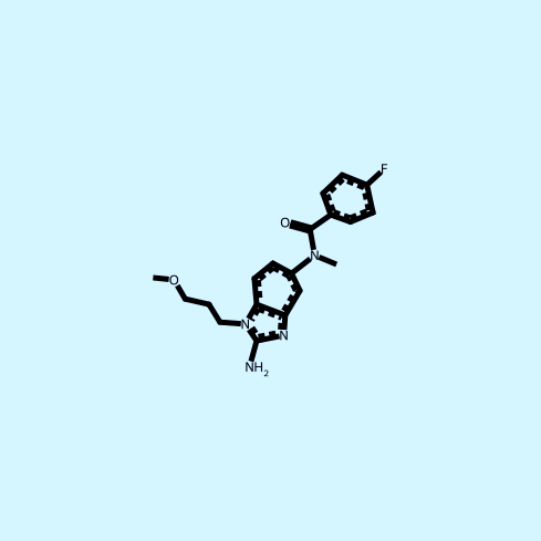 COCCCn1c(N)nc2cc(N(C)C(=O)c3ccc(F)cc3)ccc21